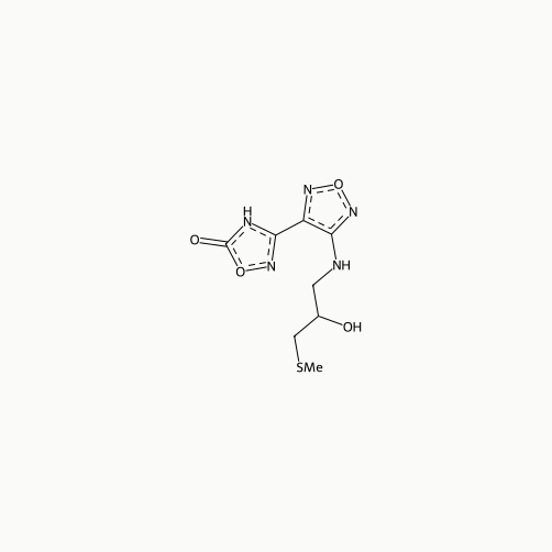 CSCC(O)CNc1nonc1-c1noc(=O)[nH]1